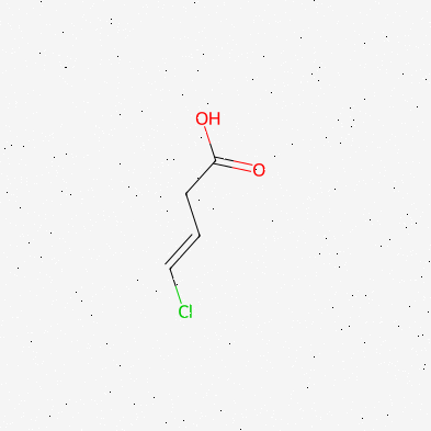 O=C(O)CC=CCl